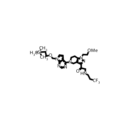 COCCn1nc(C(=O)CNCCC(F)(F)F)c2c1CCN(c1ncnc3c1ccn3COCC[Si](C)(C)C)C2